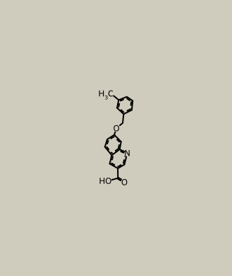 Cc1cccc(COc2ccc3cc(C(=O)O)cnc3c2)c1